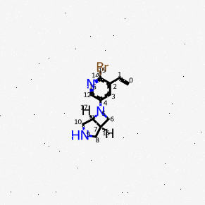 C=Cc1cc(N2C[C@@H]3CNC[C@@H]32)cnc1Br